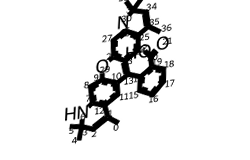 CC1=CC(C)(C)Nc2cc3c(cc21)C(c1ccccc1C(=O)O)=c1cc2c(cc1O3)=NC(C)(C)C=C2C